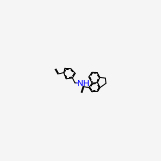 C=Cc1cccc(CNC(=C)c2ccc3c4c(cccc24)CC3)c1